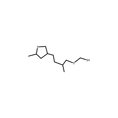 CC(CCC1CSC(C)C1)CSCS